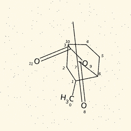 CC1CC2CCC1C(=O)OC2=O